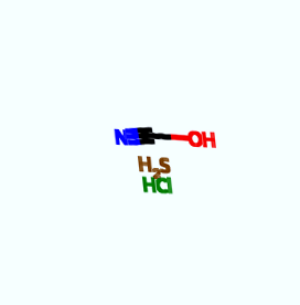 Cl.N#CO.S